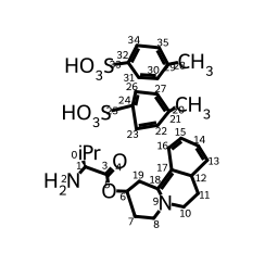 CC(C)[C@H](N)C(=O)OC1CCN2CCC3C=CC=CC3=C2C1.Cc1ccc(S(=O)(=O)O)cc1.Cc1ccc(S(=O)(=O)O)cc1